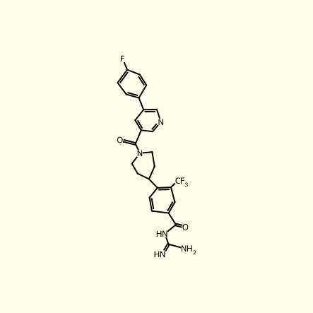 N=C(N)NC(=O)c1ccc(C2CCN(C(=O)c3cncc(-c4ccc(F)cc4)c3)CC2)c(C(F)(F)F)c1